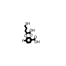 O=C(O)c1ccc(F)c(OC(CCCS)C(=O)O)c1